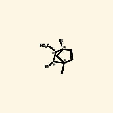 CC[C@]12C=C[C@@H](C1)[C@@H](C(C)C)[C@H]2C(=O)O